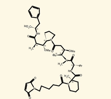 CC[C@H](C)[C@@H]([C@@H](CC(=O)N1CCC[C@H]1[C@H](OC)[C@@H](C)C(=O)N[C@@H](Cc1ccccc1)C(=O)O)OC)N(C)C(=O)[C@@H](NC(=O)[C@@]1(C)CCCCN1C(=O)CCCCCN1C(=O)C=CC1=O)C(C)C